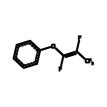 FC(Oc1ccccc1)=C(F)C(F)(F)F